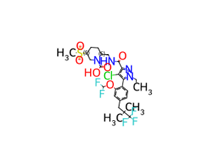 CCn1nc(C(=O)NC[C@@H]2CC[C@H](S(C)(=O)=O)CN2C(=O)O)c(Cl)c1-c1ccc(CC(C)(C)C(F)(F)F)cc1OC(F)F